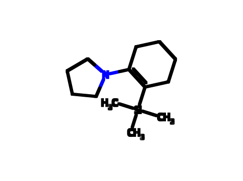 C[Si](C)(C)C1=C(N2CCCC2)CCCC1